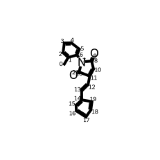 Cc1ccccc1N1C(=O)C=C(C=Cc2ccccc2)C1=O